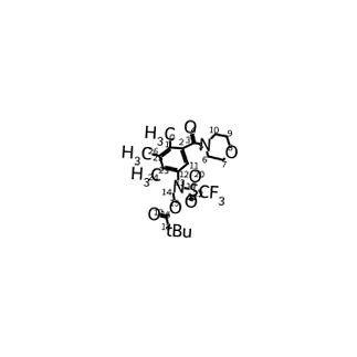 Cc1c(C(=O)N2CCOCC2)cc(N(COC(=O)C(C)(C)C)S(=O)(=O)C(F)(F)F)c(C)c1C